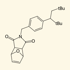 CC(C)(C)CC(c1ccc(CN2C(=O)C3C4C=CC(O4)C3C2=O)cc1)C(C)(C)C